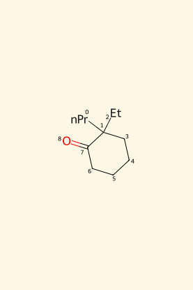 CCCC1(CC)CCCCC1=O